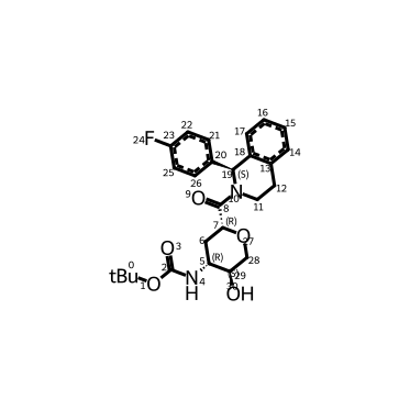 CC(C)(C)OC(=O)N[C@@H]1C[C@H](C(=O)N2CCc3ccccc3[C@@H]2c2ccc(F)cc2)OC[C@H]1O